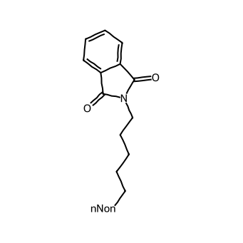 CCCCCCCCCCCCCCN1C(=O)c2ccccc2C1=O